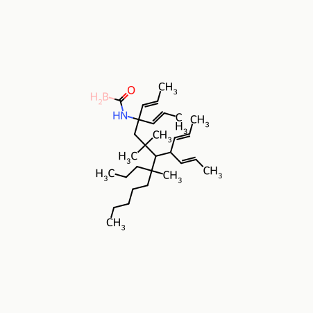 BC(=O)NC(C=CC)(C=CC)CC(C)(C)C(C(C=CC)C=CC)C(C)(CCC)CCCCC